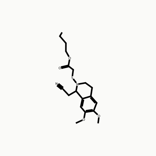 CCCCOC(=O)CSN1CCc2cc(OC)c(OC)cc2C1CC#N